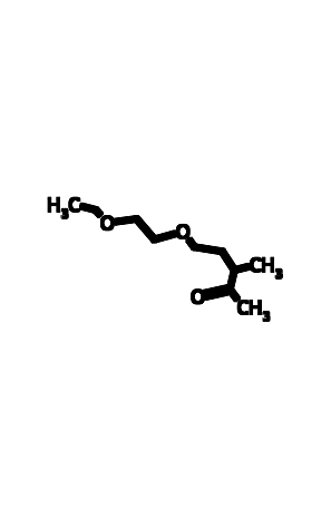 CCOCCOCCC(C)C(C)=O